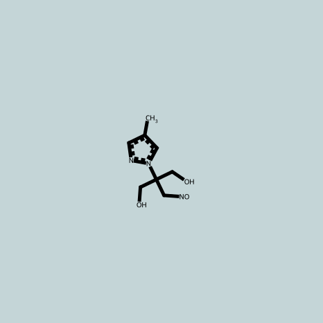 Cc1cnn(C(CO)(CO)CN=O)c1